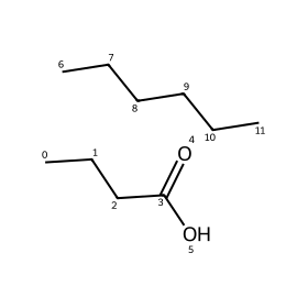 CCCC(=O)O.CCCCCC